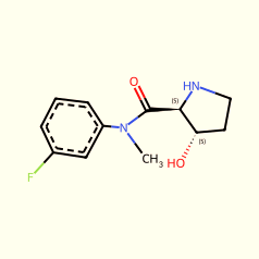 CN(C(=O)[C@H]1NCC[C@@H]1O)c1cccc(F)c1